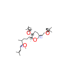 CO/C(=C\C=C(C)C)C(C)CCC[C@]1(C)OC/C(=C/CO[Si](C)(C)C)CC[C@H]1O[Si](C)(C)C